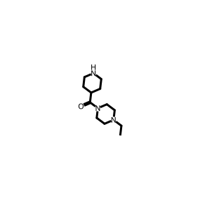 CCN1CCN(C(=O)C2CCNCC2)CC1